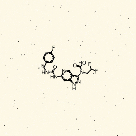 C[C@@H](NC(=O)Nc1cc2[nH]nc(N(CC(F)F)C(=O)O)c2cn1)c1ccc(F)cc1